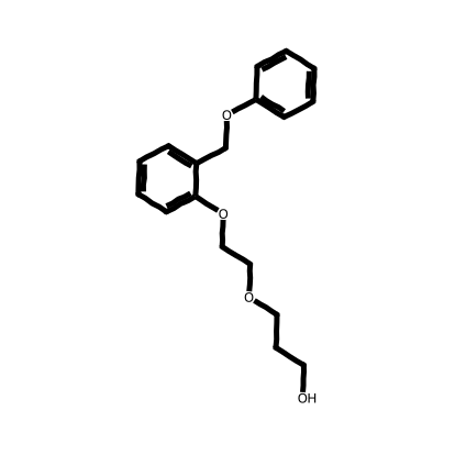 OCCCOCCOc1ccccc1COc1ccccc1